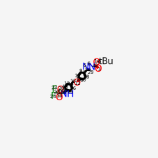 CC(C)(C)OC(=O)n1cnc(-c2ccc(OCc3ccc(NS(=O)(=O)C(F)F)cc3)cc2)c1